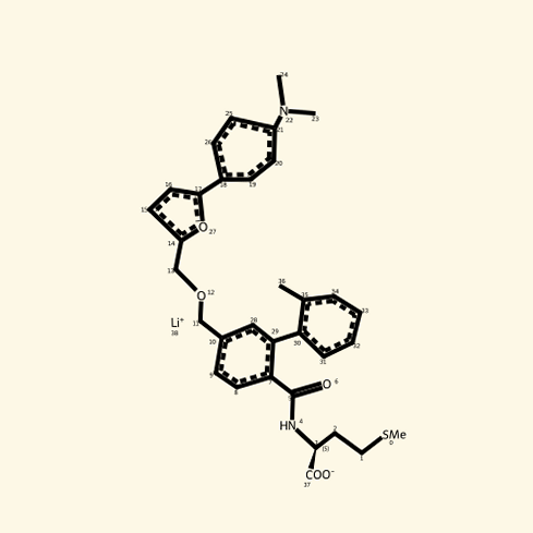 CSCC[C@H](NC(=O)c1ccc(COCc2ccc(-c3ccc(N(C)C)cc3)o2)cc1-c1ccccc1C)C(=O)[O-].[Li+]